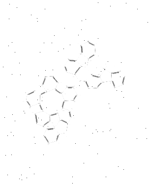 CC1(C)c2ccccc2-c2ccc(N(c3ccc4c(c3)c3ccccc3c3ccccc3c3ccccc3c3c4ccc4sc5ccccc5c43)c3cccc4c3oc3ccccc34)cc21